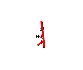 CCCCCCCCCOC(=O)CCCCCCCN(CCO)CCCCCCCC(OCCCCCCCC)OCCCCCCCC